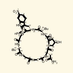 CCCSc1[nH]c2cc([N+](=O)[O-])ccc2c1C[C@@H]1NC(=O)[C@H]([C@@H](C)CC)NC(=O)[C@@H]2C[C@@H](O)CN2C(=O)[C@H](CC(N)=O)NC(=O)CNC(=O)CNC(=O)[C@H]([C@@H](C)CC)NC(=O)CNC1=O